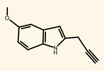 C#CCc1cc2cc(OC)ccc2[nH]1